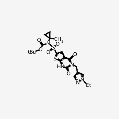 CCn1cc(Cn2c(=O)[nH]c3sc(S(=O)(=O)N(C(=O)OC(C)(C)C)C4(C)CC4)cc3c2=O)cn1